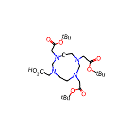 CC(C)(C)OC(=O)CN1CCN(CC(=O)OC(C)(C)C)CN(CC(=O)OC(C)(C)C)CCN(CC(=O)O)C1